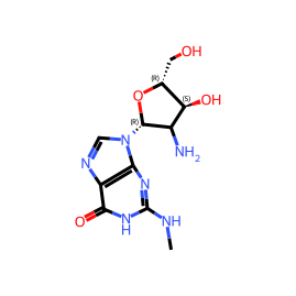 CNc1nc2c(ncn2[C@@H]2O[C@H](CO)[C@@H](O)C2N)c(=O)[nH]1